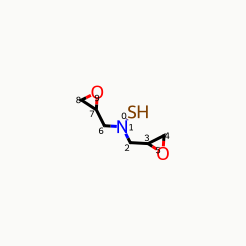 SN(CC1CO1)CC1CO1